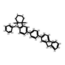 CC12CCCCC1(C)N(c1ccccc1)c1ccc(-c3ccc(-c4ccc5c(c4)Cc4ccccc4-5)cc3)cc12